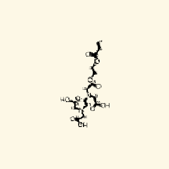 C=CC(=O)OCCOC(=O)CN(CCN(CC(=O)O)CC(=O)O)CC(=O)O